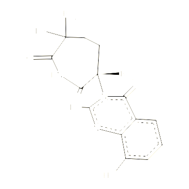 BC1(B)CC[C@](B)(n2c(C)nc3c(O)cccc3c2=O)C(=O)NC1=O